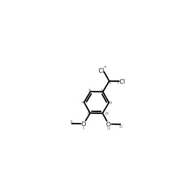 COc1ccc(C(Cl)Cl)cc1OC